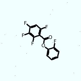 O=C(Oc1ccccc1F)c1c(F)cc(F)c(F)c1F